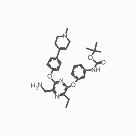 CCc1nc(CN)c(Oc2ccc(C3=CCN(C)CC3)cc2)nc1Oc1cccc(NC(=O)OC(C)(C)C)c1